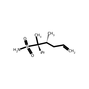 C=CC[C@@H](C)[C@](C)(C(C)C)S(N)(=O)=O